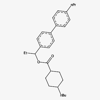 CCCCC1CCC(C(=O)OC(CC)c2ccc(-c3ccc(CCC)cc3)cc2)CC1